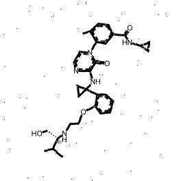 Cc1ccc(C(=O)NC2CC2)cc1-n1ccnc(NC2(c3ccccc3OCCN[C@@H](CO)C(C)C)CC2)c1=O